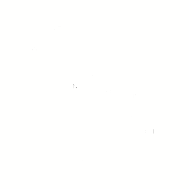 CC(Br)c1cc(Cl)ccc1Oc1ccc(C(=O)O)cn1